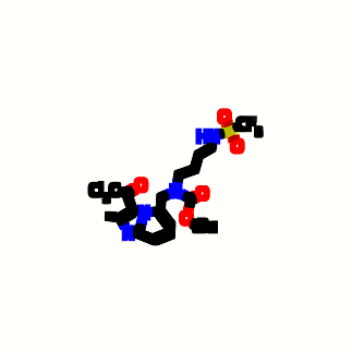 Cc1nc2cccc(CN(CCCCNS(=O)(=O)C(F)(F)F)C(=O)OC(C)(C)C)n2c1C(=O)C(Cl)(Cl)Cl